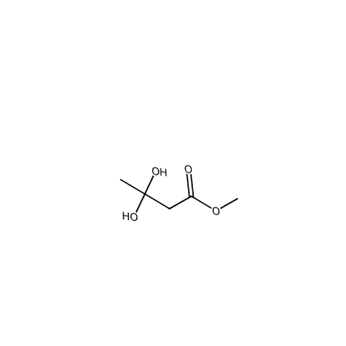 COC(=O)CC(C)(O)O